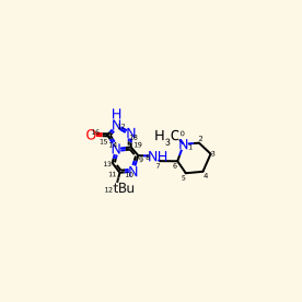 CN1CCCCC1CNc1nc(C(C)(C)C)cn2c(=O)[nH]nc12